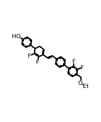 CCOCc1ccc(-c2ccc(/C=C/C3=CCC(c4ccc(O)cc4)C(F)=C3F)cc2)c(F)c1F